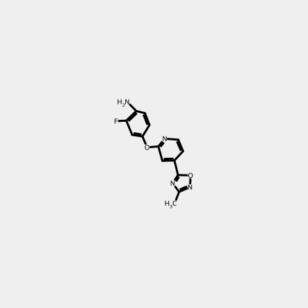 Cc1noc(-c2ccnc(Oc3ccc(N)c(F)c3)c2)n1